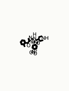 Cc1ccccc1C(=O)c1cnc(NC(C2CCNCC2)S(=O)(=O)c2ccc([N+](=O)[O-])cc2)s1